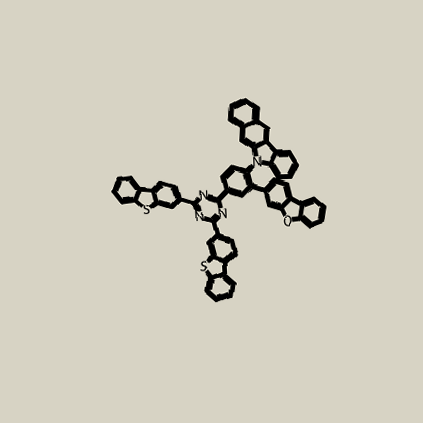 c1ccc2cc3c(cc2c1)c1ccccc1n3-c1ccc(-c2nc(-c3ccc4c(c3)sc3ccccc34)nc(-c3ccc4c(c3)sc3ccccc34)n2)cc1-c1ccc2c(c1)oc1ccccc12